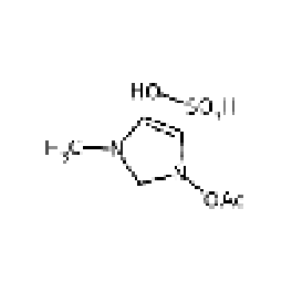 CC(=O)ON1C=CN(C)C1.O=S(=O)(O)O